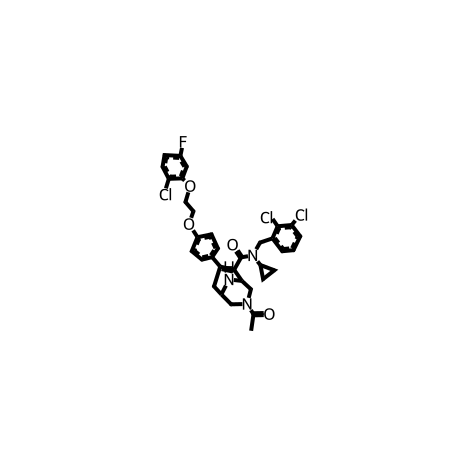 CC(=O)N1CC2CC(c3ccc(OCCOc4cc(F)ccc4Cl)cc3)=C(C(=O)N(Cc3cccc(Cl)c3Cl)C3CC3)C(C1)N2